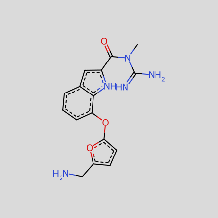 CN(C(=N)N)C(=O)c1cc2cccc(Oc3ccc(CN)o3)c2[nH]1